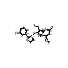 CCc1c(Cn2ccnc2-c2cccc(F)c2)nn2c(OC)cc(C)nc12